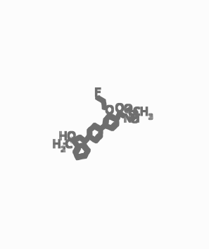 [CH2][C@@](O)(CCc1ccc(-c2ccc(C(=O)NS(C)(=O)=O)c(OCCCF)c2)cc1)c1ccccc1